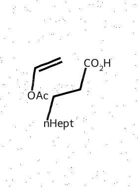 C=COC(C)=O.CCCCCCCCCC(=O)O